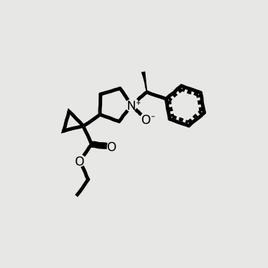 CCOC(=O)C1(C2CC[N+]([O-])([C@@H](C)c3ccccc3)C2)CC1